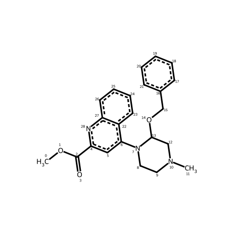 COC(=O)c1cc(N2CCN(C)CC2OCc2ccccc2)c2ccccc2n1